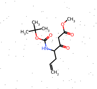 C=CCC(NC(=O)OC(C)(C)C)C(=O)CC(=O)OC